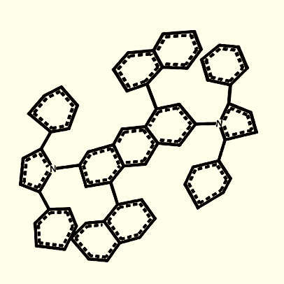 c1ccc(-c2ccc(-c3ccccc3)n2-c2cc(-c3cccc4ccccc34)c3cc4cc(-n5c(-c6ccccc6)ccc5-c5ccccc5)cc(-c5cccc6ccccc56)c4cc3c2)cc1